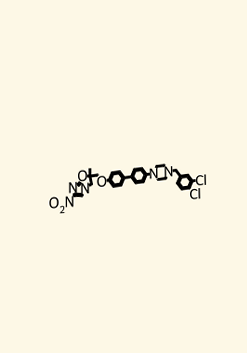 CC1(COc2ccc(-c3ccc(N4CCN(Cc5ccc(Cl)c(Cl)c5)CC4)cc3)cc2)Cn2cc([N+](=O)[O-])nc2O1